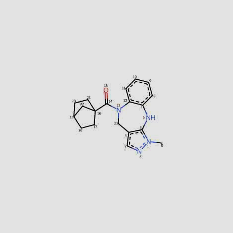 Cn1ncc2c1Nc1ccccc1N(C(=O)C13CCC(CC1)C3)C2